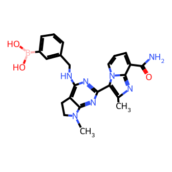 Cc1nc2c(C(N)=O)cccn2c1-c1nc(NCc2cccc(B(O)O)c2)c2c(n1)N(C)CC2